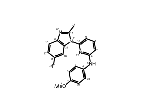 COc1ccc(Nc2cccc(-n3c(C)nc4ccc(F)cc43)n2)cc1